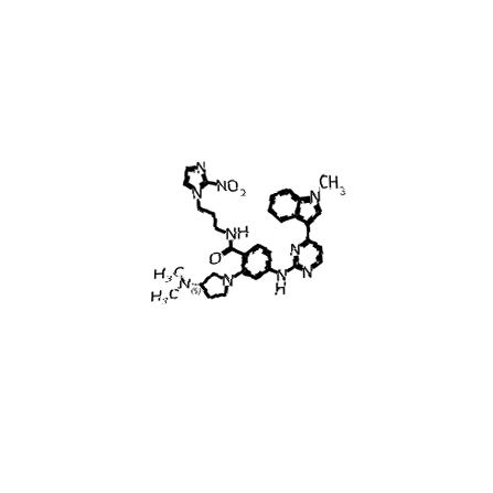 CN(C)[C@H]1CCN(c2cc(Nc3nccc(-c4cn(C)c5ccccc45)n3)ccc2C(=O)NCCCn2ccnc2[N+](=O)[O-])C1